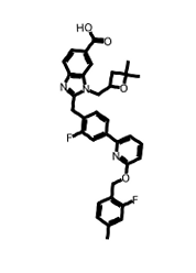 Cc1ccc(COc2cccc(-c3ccc(Cc4nc5ccc(C(=O)O)cc5n4CC4CC(C)(C)O4)c(F)c3)n2)c(F)c1